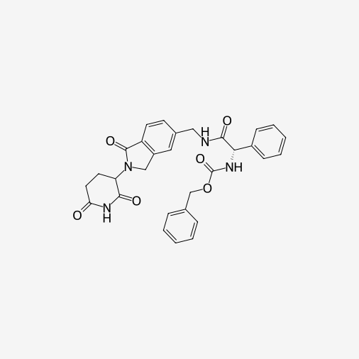 O=C1CCC(N2Cc3cc(CNC(=O)[C@@H](NC(=O)OCc4ccccc4)c4ccccc4)ccc3C2=O)C(=O)N1